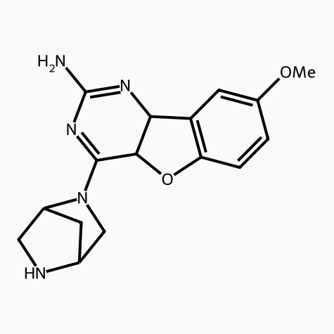 COc1ccc2c(c1)C1N=C(N)N=C(N3CC4CC3CN4)C1O2